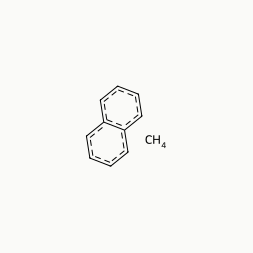 C.c1ccc2ccccc2c1